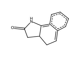 O=C1CC2CC=c3ccccc3=C2N1